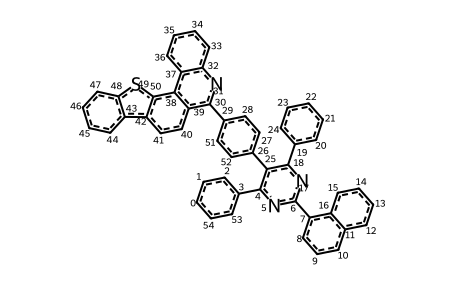 c1ccc(-c2nc(-c3cccc4ccccc34)nc(-c3ccccc3)c2-c2ccc(-c3nc4ccccc4c4c3ccc3c5ccccc5sc34)cc2)cc1